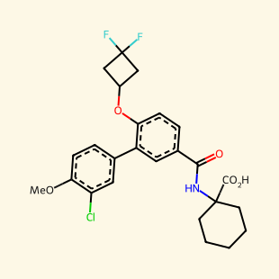 COc1ccc(-c2cc(C(=O)NC3(C(=O)O)CCCCC3)ccc2OC2CC(F)(F)C2)cc1Cl